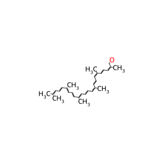 CC(C)=CC=CC(C)=CC=CC(C)=CC=CC=C(C)C=CC=C(C)C=CC=C(C)C=O